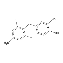 Cc1cc(N)cc(C)c1Cc1ccc(O)c(C(C)C)c1